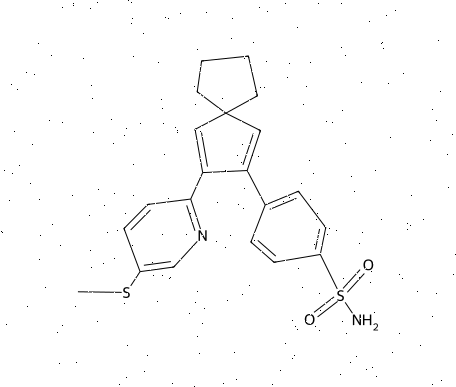 CSc1ccc(C2=CC3(C=C2c2ccc(S(N)(=O)=O)cc2)CCCC3)nc1